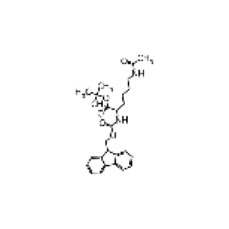 CC(=O)NCCCCC(NC(=O)OCC1c2ccccc2-c2ccccc21)C(=O)OC(C)(C)C